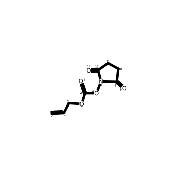 C=CCOC(=O)ON1C(=O)CCC1=O